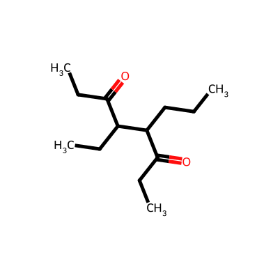 CCCC(C(=O)CC)C(CC)C(=O)CC